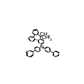 CC1(C)c2ccccc2-c2ccccc2-c2cc(N(c3ccc(-c4ccccc4)cc3)c3ccc(-c4ccccc4)cc3)ccc21